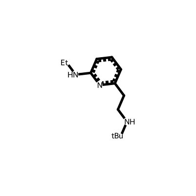 CCNc1cccc(CCNC(C)(C)C)n1